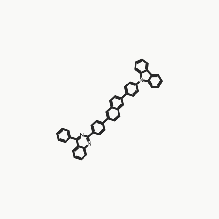 c1ccc(-c2nc(-c3ccc(-c4ccc5cc(-c6ccc(-n7c8ccccc8c8ccccc87)cc6)ccc5c4)cc3)nc3ccccc23)cc1